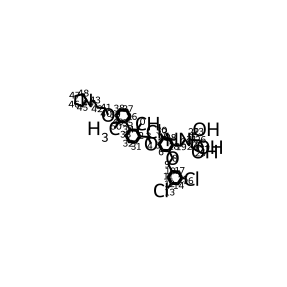 Cc1c(COc2cc(OCc3cc(Cl)cc(Cl)c3)c(CNC(CO)(CO)CO)cc2Cl)cccc1-c1cccc(OCCCN2CCCC2)c1C